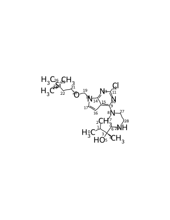 CC(C)[C@@](C)(O)[C@@H]1CN(c2nc(Cl)nc3c2ccn3COCC[Si](C)(C)C)CCN1